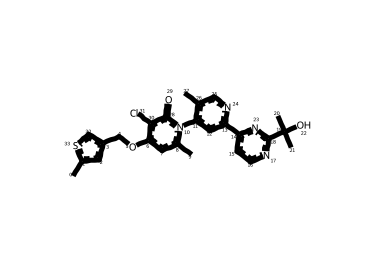 Cc1cc(COc2cc(C)n(-c3cc(-c4ccnc(C(C)(C)O)n4)ncc3C)c(=O)c2Cl)cs1